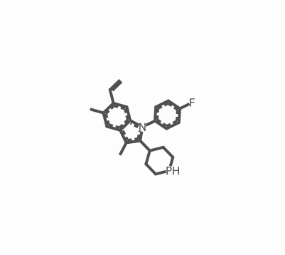 C=Cc1cc2c(cc1C)c(C)c(C1CCPCC1)n2-c1ccc(F)cc1